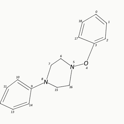 c1ccc(ON2CCN(c3ccccc3)CC2)cc1